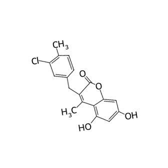 Cc1ccc(Cc2c(C)c3c(O)cc(O)cc3oc2=O)cc1Cl